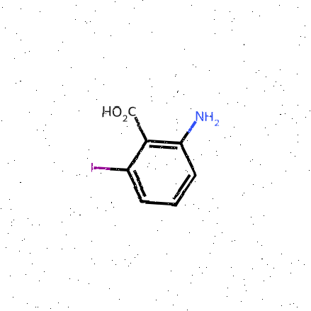 Nc1cccc(I)c1C(=O)O